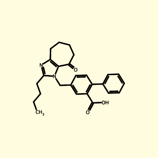 CCCCc1nc2c(n1Cc1ccc(-c3ccccc3)c(C(=O)O)c1)C(=O)CCCC2